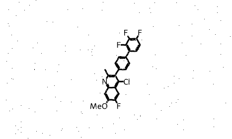 COc1cc2nc(C)c(-c3ccc(-c4ccc(F)c(F)c4F)cc3)c(Cl)c2cc1F